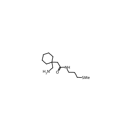 CSCCCNC(=O)CC1(CN)CCCCC1